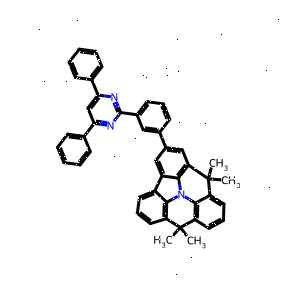 CC1(C)c2cccc3c2-n2c4c1cccc4c1cc(-c4cccc(-c5nc(-c6ccccc6)cc(-c6ccccc6)n5)c4)cc(c12)C3(C)C